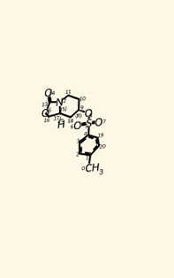 Cc1ccc(S(=O)(=O)O[C@@H]2CCN3C(=O)OC[C@@H]3C2)cc1